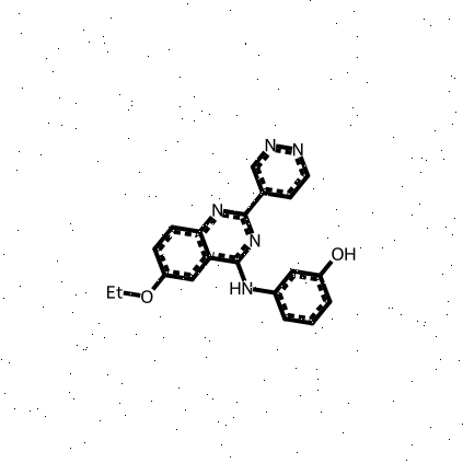 CCOc1ccc2nc(-c3ccnnc3)nc(Nc3cccc(O)c3)c2c1